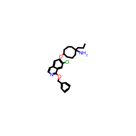 CCCC1(N)CCCC(Oc2cc3ccnc(OCc4ccccc4)c3cc2Cl)CCC1